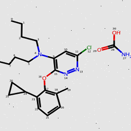 CCCCN(CCCC)c1cc(Cl)nnc1Oc1c(C)cccc1C1CC1.NC(=O)O